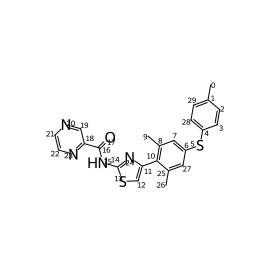 Cc1ccc(Sc2cc(C)c(-c3csc(NC(=O)c4cnccn4)n3)c(C)c2)cc1